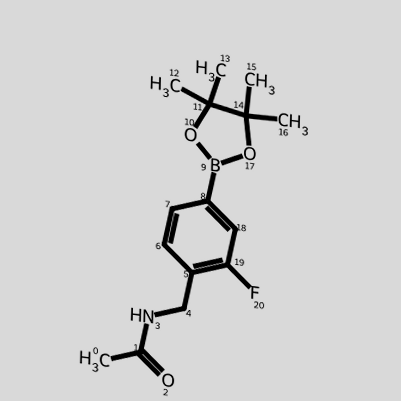 CC(=O)NCc1ccc(B2OC(C)(C)C(C)(C)O2)cc1F